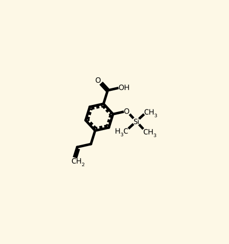 C=CCc1ccc(C(=O)O)c(O[Si](C)(C)C)c1